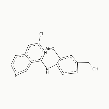 COc1cc(CO)ccc1Nc1nc(Cl)cc2ccncc12